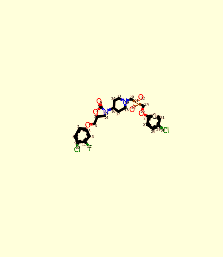 O=C1OC(COc2ccc(Cl)c(F)c2)CN1C1CCN(CS(=O)(=O)COc2ccc(Cl)cc2)CC1